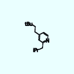 CC(C)Cc1cc(CCC(C)(C)C)ccn1